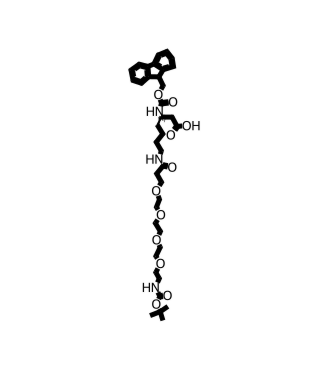 CC(C)(C)OC(=O)NCCOCCOCCOCCOCCC(=O)NCCCC[C@H](CC(=O)O)NC(=O)OCC1c2ccccc2-c2ccccc21